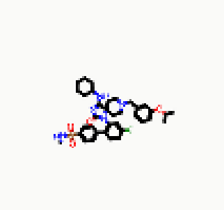 CNS(=O)(=O)c1ccc(-c2ccc(F)cc2N2C(=O)N=C(NC3CCCCC3)C23CCN(Cc2cccc(OC(C)C)c2)CC3)cc1